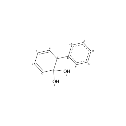 OC1(O)C=CC=CC1c1ccccc1